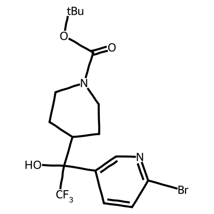 CC(C)(C)OC(=O)N1CCC(C(O)(c2ccc(Br)nc2)C(F)(F)F)CC1